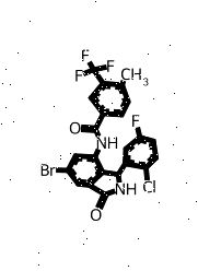 Cc1ccc(C(=O)Nc2cc(Br)cc3c2C(c2cc(F)ccc2Cl)NC3=O)cc1C(F)(F)F